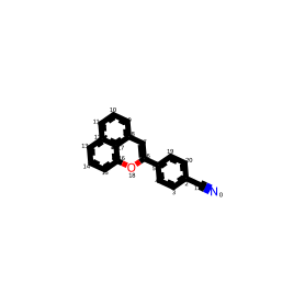 N#Cc1ccc(C2=Cc3cccc4cccc(c34)O2)cc1